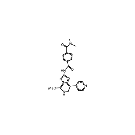 COC1=c2nc(NC(=O)c3ccc(C(=O)N(C)C)cc3)sc2=C(c2ccncc2)CN1